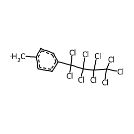 [CH2]c1ccc(C(Cl)(Cl)C(Cl)(Cl)C(Cl)(Cl)C(Cl)(Cl)Cl)cc1